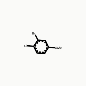 COc1[c]cc(Cl)c(Br)c1